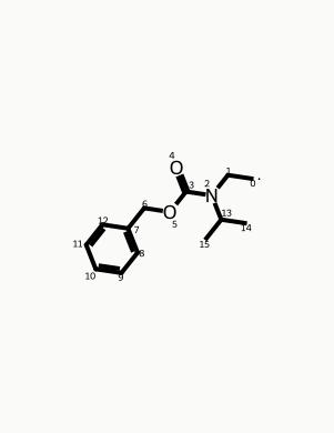 [CH2]CN(C(=O)OCc1ccccc1)C(C)C